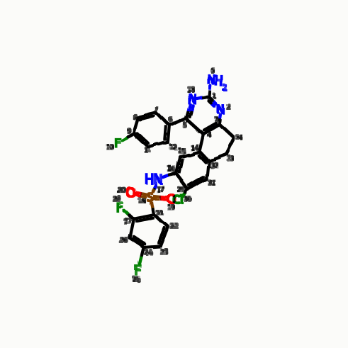 Nc1nc2c(c(-c3ccc(F)cc3)n1)-c1cc(NS(=O)(=O)c3ccc(F)cc3F)c(Cl)cc1CC2